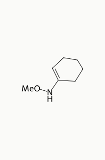 CONC1=CCCCC1